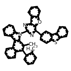 Cc1ccccc1-c1c(C)c2c(c3ccccc13)c1ccccc1n2-c1nc(-c2ccc3sc4ccccc4c3c2)c2oc3ccccc3c2n1